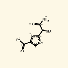 CCC(=O)c1csc(C(CC)C(N)=O)n1